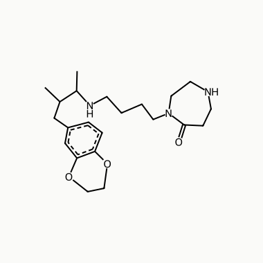 CC(Cc1ccc2c(c1)OCCO2)C(C)NCCCCN1CCNCCC1=O